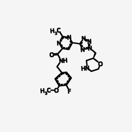 COc1cc(CNC(=O)c2cc(-c3nnn(C[C@@H]4CNCCO4)n3)nc(C)n2)ccc1F